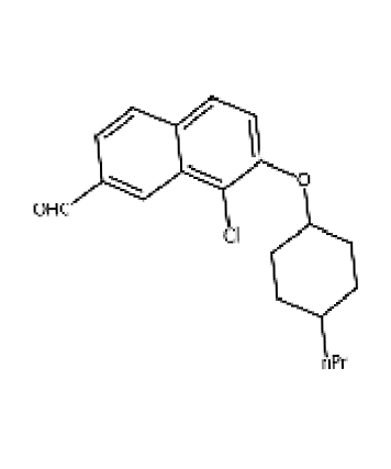 CCCC1CCC(Oc2ccc3ccc(C=O)cc3c2Cl)CC1